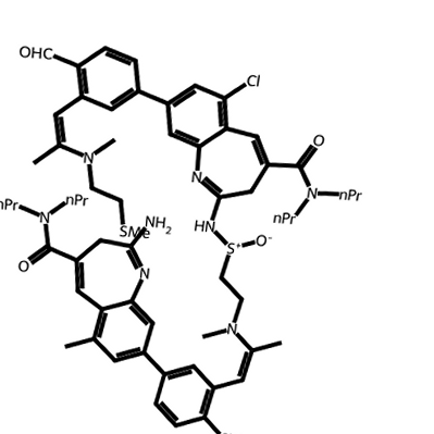 CCCN(CCC)C(=O)C1=Cc2c(C)cc(-c3ccc(C=O)c(/C=C(/C)N(C)CC[S+]([O-])NC4=Nc5cc(-c6ccc(C=O)c(/C=C(/C)N(C)CCSC)c6)cc(Cl)c5C=C(C(=O)N(CCC)CCC)C4)c3)cc2N=C(N)C1